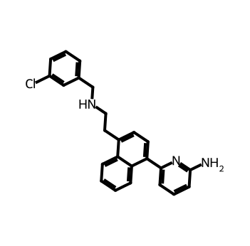 Nc1cccc(-c2ccc(CCNCc3cccc(Cl)c3)c3ccccc23)n1